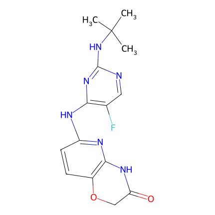 CC(C)(C)Nc1ncc(F)c(Nc2ccc3c(n2)NC(=O)CO3)n1